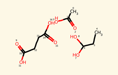 CC(=O)O.CCC(O)O.O=C(O)CCC(=O)O